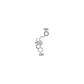 C[C@H](Cc1cccc(O)c1)[C@H]1CC[C@H]2C3=CC=C4C[C@@H](O)CC[C@]4(C)[C@H]3CC[C@]12C